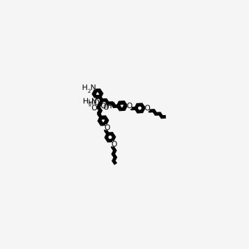 CCCCCCOC1CCC(COc2ccc(/C=C/C(=O)CC(c3ccc(N)cc3N)C(O)(O)C(=O)/C=C/c3ccc(OCC4CCC(OCCCCCC)CC4)cc3)cc2)CC1